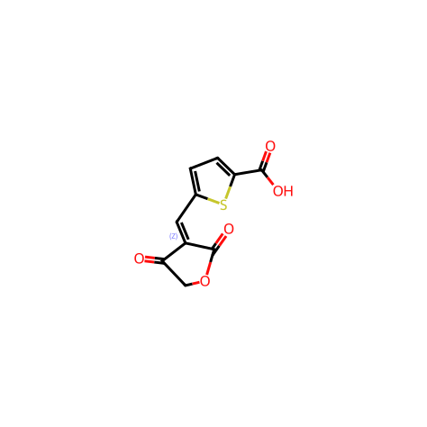 O=C1COC(=O)/C1=C\c1ccc(C(=O)O)s1